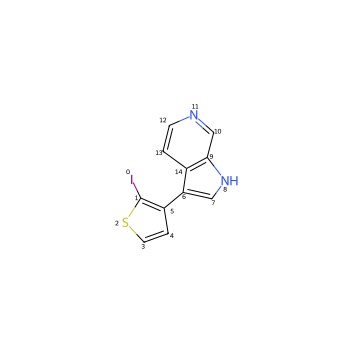 Ic1sccc1-c1c[nH]c2cnccc12